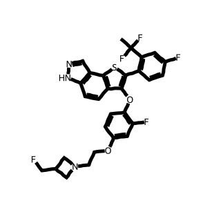 CC(F)(F)c1cc(F)ccc1-c1sc2c(ccc3[nH]ncc32)c1Oc1ccc(OCCN2CC(CF)C2)cc1F